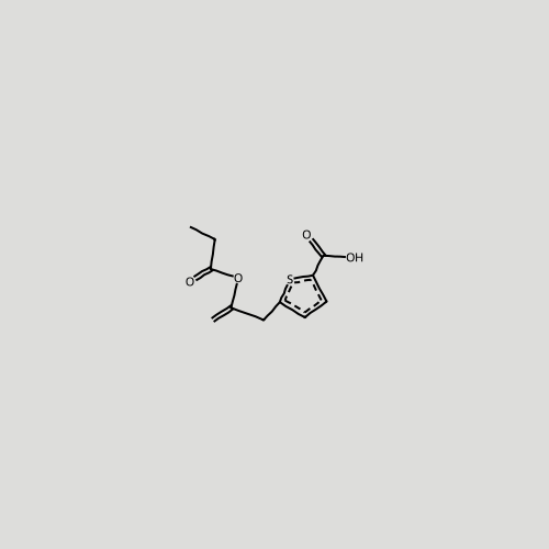 C=C(Cc1ccc(C(=O)O)s1)OC(=O)CC